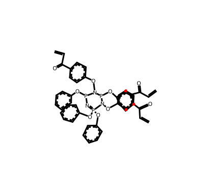 C=CC(=O)c1ccc(ON2P(Oc3ccccc3)N=P(Oc3ccccc3)(Oc3ccccc3)N(Oc3ccc(C(=O)C=C)cc3)P2Oc2ccc(C(=O)C=C)cc2)cc1